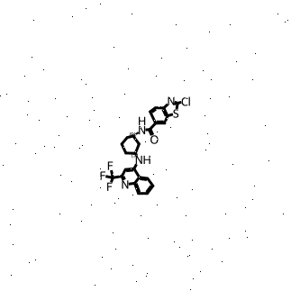 O=C(N[C@@H]1CCC[C@H](Nc2cc(C(F)(F)F)nc3ccccc23)C1)c1ccc2nc(Cl)sc2c1